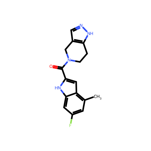 Cc1cc(F)cc2[nH]c(C(=O)N3CCc4[nH]ncc4C3)cc12